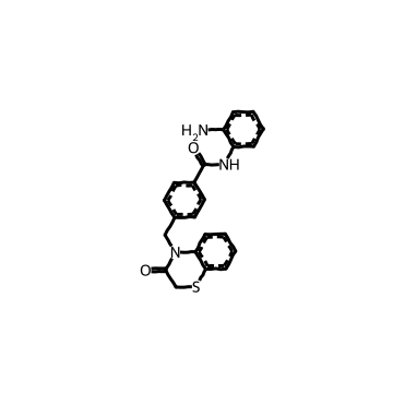 Nc1ccccc1NC(=O)c1ccc(CN2C(=O)CSc3ccccc32)cc1